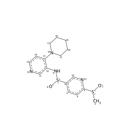 C[S+]([O-])c1ccc([S+]([O-])Nc2cnccc2N2CCCCC2)cn1